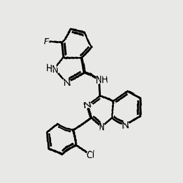 Fc1cccc2c(Nc3nc(-c4ccccc4Cl)nc4ncccc34)n[nH]c12